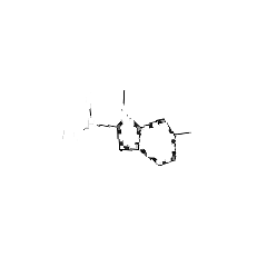 Cn1c(B(O)O)cc2ccc(F)cc21